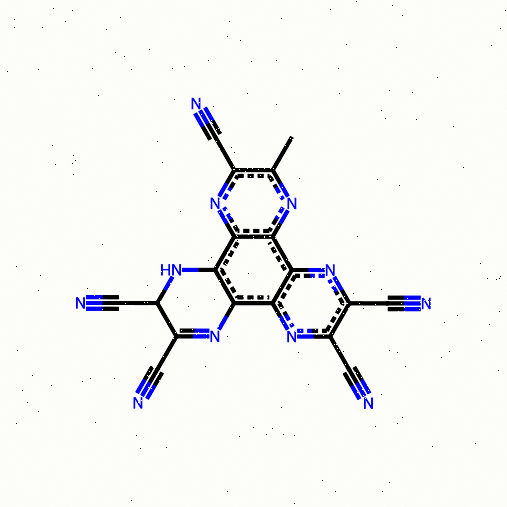 Cc1nc2c(nc1C#N)c1c(c3nc(C#N)c(C#N)nc32)N=C(C#N)C(C#N)N1